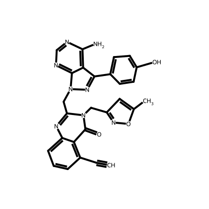 C#Cc1cccc2nc(Cn3nc(-c4ccc(O)cc4)c4c(N)ncnc43)n(Cc3cc(C)on3)c(=O)c12